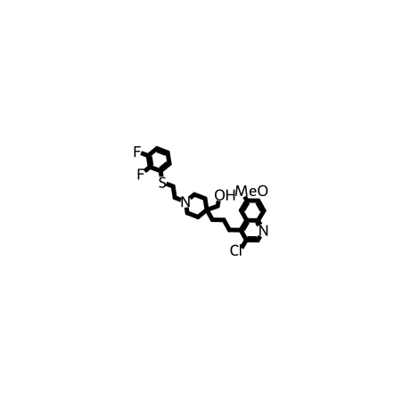 COc1ccc2ncc(Cl)c(CCCC3(CO)CCN(CCSc4cccc(F)c4F)CC3)c2c1